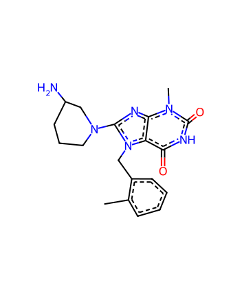 Cc1ccccc1Cn1c(N2CCCC(N)C2)nc2c1c(=O)[nH]c(=O)n2C